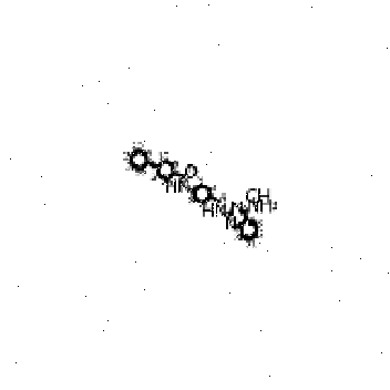 CNc1nc(NCc2ccc(NC(=O)c3ccc(-c4ccccc4)cc3)cc2)nc2ccccc12